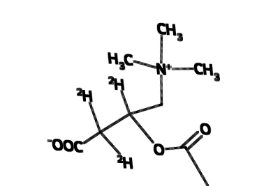 [2H]C(C[N+](C)(C)C)(OC(=O)CCCCC)C([2H])([2H])C(=O)[O-]